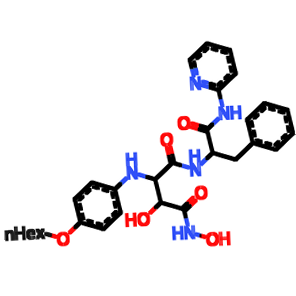 CCCCCCOc1ccc(NC(C(=O)NC(Cc2ccccc2)C(=O)Nc2ccccn2)C(O)C(=O)NO)cc1